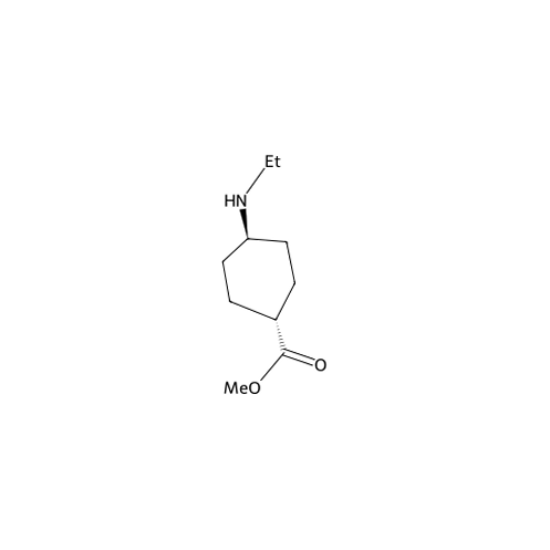 CCN[C@H]1CC[C@H](C(=O)OC)CC1